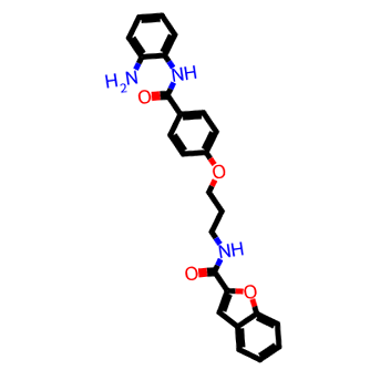 Nc1ccccc1NC(=O)c1ccc(OCCCNC(=O)c2cc3ccccc3o2)cc1